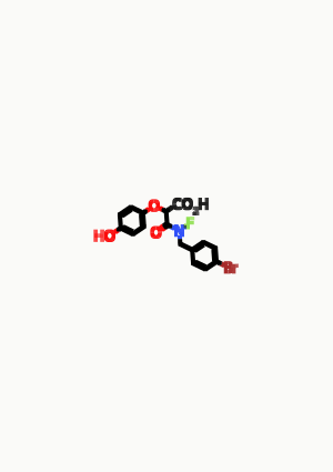 O=C(O)C(Oc1ccc(O)cc1)C(=O)N(F)Cc1ccc(Br)cc1